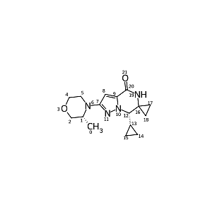 C[C@@H]1COCCN1c1cc2n(n1)[C@@H](C1CC1)C1(CC1)NC2=O